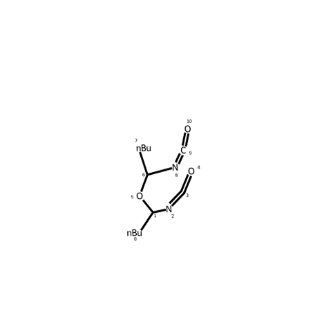 CCCCC(N=C=O)OC(CCCC)N=C=O